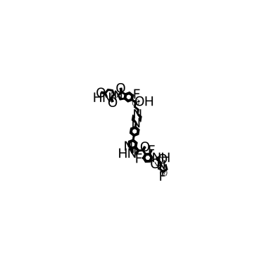 O=C1CC[C@@H](N2Cc3cc([C@@H](O)CCN4CCN(c5ccc(-c6cnc7[nH]cc(C(=O)c8c(F)ccc(NS(=O)(=O)N9CC[C@@H](F)C9)c8F)c7c6)cc5)CC4)c(F)cc3C2=O)C(=O)N1